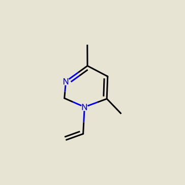 C=CN1CN=C(C)C=C1C